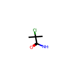 CC(C)(Cl)C([NH])=O